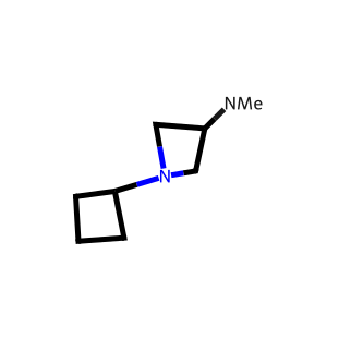 CNC1CN(C2CCC2)C1